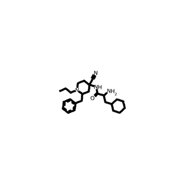 CCCN1CCC(C#N)(NC(=O)C(N)CC2CCCCC2)CC1Cc1ccccc1